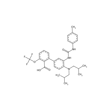 Cc1ccc(NC(=O)Nc2cc(-c3cccc(OC(F)(F)F)c3C(=O)O)ccc2N(CC(C)C)CC(C)C)cc1